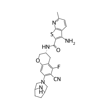 Cc1ccc2c(N)c(C(=O)N[C@H]3COc4cc(N5CC6CCC(C5)N6)c(C#N)c(F)c4C3)sc2n1